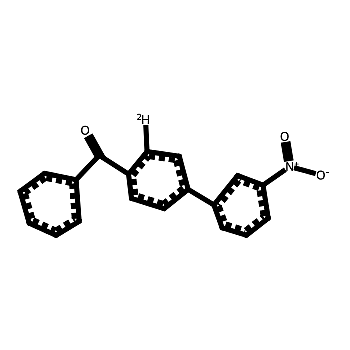 [2H]c1cc(-c2cccc([N+](=O)[O-])c2)ccc1C(=O)c1ccccc1